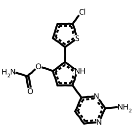 NC(=O)Oc1cc(-c2ccnc(N)n2)[nH]c1-c1ccc(Cl)s1